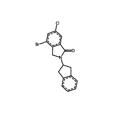 O=C1c2cc(Cl)cc(Br)c2CN1C1Cc2ccccc2C1